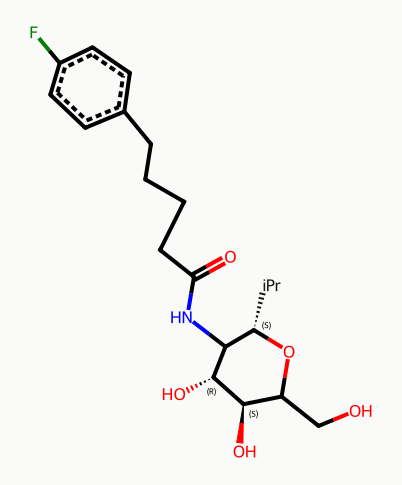 CC(C)[C@@H]1OC(CO)[C@@H](O)[C@H](O)C1NC(=O)CCCCc1ccc(F)cc1